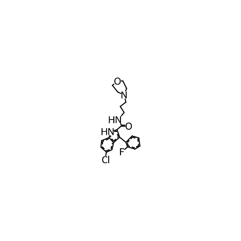 O=C(NCCCN1CCOCC1)c1[nH]c2ccc(Cl)cc2c1-c1ccccc1F